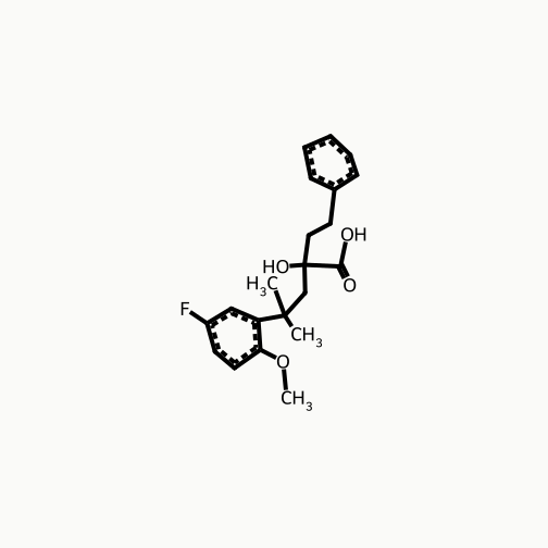 COc1ccc(F)cc1C(C)(C)CC(O)(CCc1ccccc1)C(=O)O